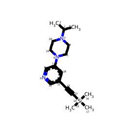 CC(C)N1CCN(c2cncc(C#C[Si](C)(C)C)c2)CC1